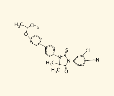 CC(C)Oc1ccc(-c2ccc(N3C(=S)N(c4ccc(C#N)c(Cl)c4)C(=O)C3(C)C)cc2)cc1